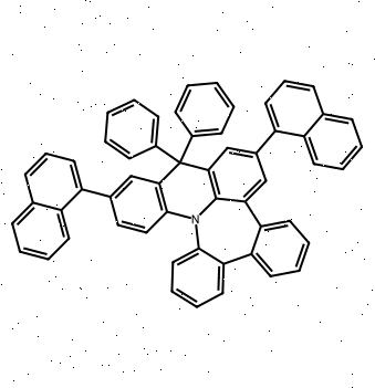 c1ccc(C2(c3ccccc3)c3cc(-c4cccc5ccccc45)ccc3N3c4ccccc4-c4ccccc4-c4cc(-c5cccc6ccccc56)cc2c43)cc1